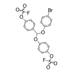 O=S(=O)(F)Oc1ccc(OC(Oc2ccc(Br)cc2)c2ccc(OS(=O)(=O)F)cc2)cc1